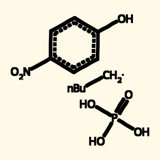 O=P(O)(O)O.O=[N+]([O-])c1ccc(O)cc1.[CH2]CCCC